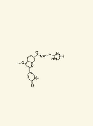 CCOc1cc(-c2ccc(=O)n(C)c2)nc2cc(C(=O)NCCCC3=NNCN3)ccc12